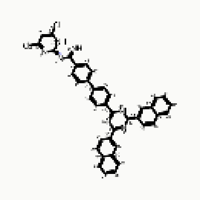 N=C(/N=c1/nc(Cl)cc(Cl)[nH]1)c1ccc(-c2ccc(C3=NC(c4ccc5ccccc5c4)=NC(c4ccc5ccccc5c4)N3)cc2)cc1